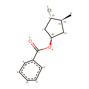 CC[C@H]1C[C@H](OC(=O)c2ccccc2)C[C@@H]1C